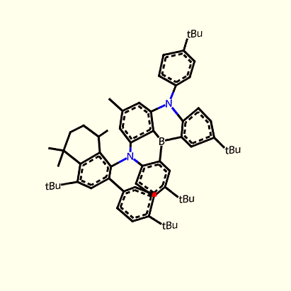 Cc1cc2c3c(c1)N(c1c(-c4ccc(C(C)(C)C)cc4)cc(C(C)(C)C)c4c1C(C)CCC4(C)C)c1ccc(C(C)(C)C)cc1B3c1cc(C(C)(C)C)ccc1N2c1ccc(C(C)(C)C)cc1